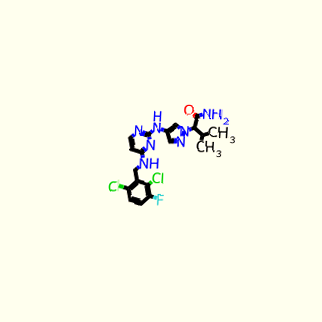 CC(C)C(C(N)=O)n1cc(Nc2nccc(NCc3c(Cl)ccc(F)c3Cl)n2)cn1